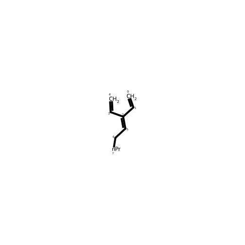 C=CC(C=C)=CCCCC